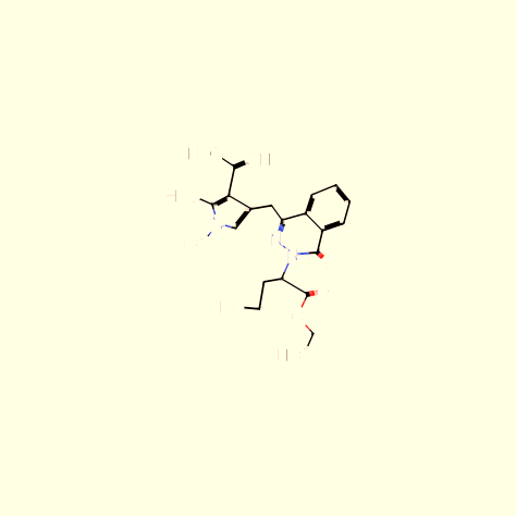 C=C(C)c1c(Cc2nn(C(CCC)C(=O)OCC)c(=O)c3ccccc23)cn(C)c1C